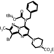 CCOC(=O)N1CCN(c2cc(N(Cc3ccccc3)C(=O)OC(C)(C)C)n3nc(C)c(Br)c3n2)CC1